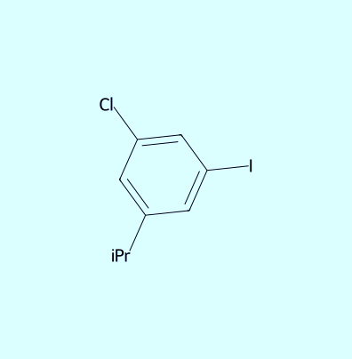 CC(C)c1cc(Cl)cc(I)c1